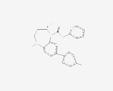 C[C@@H]1CCN(C)c2ccc(-c3ccc(C(F)(F)F)cc3)nc2N1C(=O)Nc1ccccn1